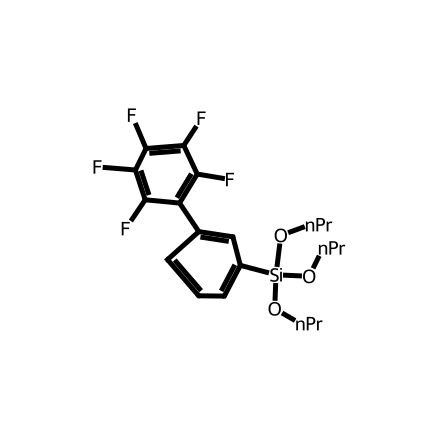 CCCO[Si](OCCC)(OCCC)c1cccc(-c2c(F)c(F)c(F)c(F)c2F)c1